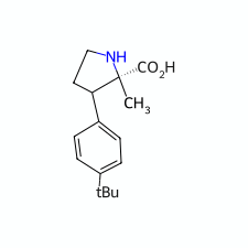 CC(C)(C)c1ccc(C2CCN[C@]2(C)C(=O)O)cc1